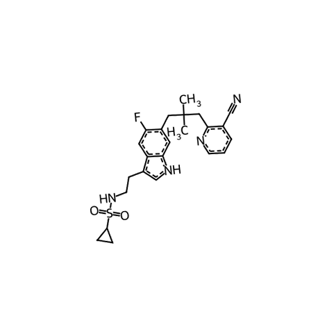 CC(C)(Cc1cc2[nH]cc(CCNS(=O)(=O)C3CC3)c2cc1F)Cc1ncccc1C#N